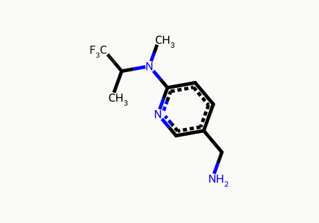 CC(N(C)c1ccc(CN)cn1)C(F)(F)F